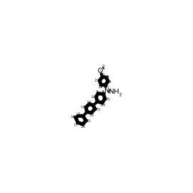 COc1ccc(N(N)c2ccc(-c3ccc(-c4ccccc4)cc3)cc2)cc1